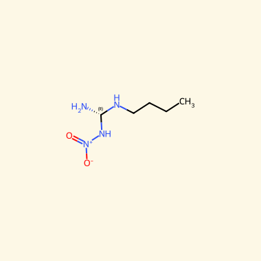 CCCCN[C@@H](N)N[N+](=O)[O-]